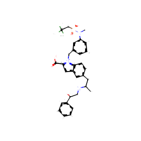 CC(Cc1ccc2c(c1)cc(C(=O)O)n2Cc1cccc(N(C)S(=O)(=O)CC(F)(F)F)c1)NCC(O)c1ccccc1